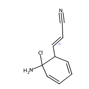 N#C/C=C/C1C=CC=CC1(N)Cl